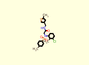 Cc1ccc(S(=O)(=O)N(CC(=O)NCc2csc(C)c2)c2cccc(Cl)c2C)cc1